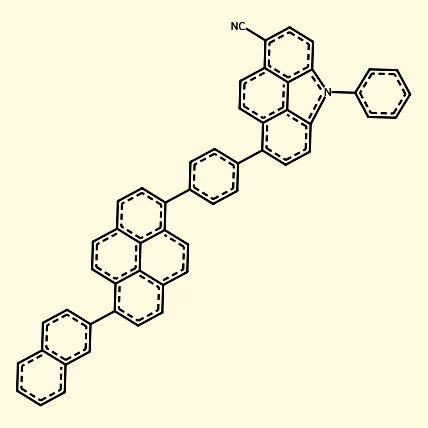 N#Cc1ccc2c3c1ccc1c(-c4ccc(-c5ccc6ccc7c(-c8ccc9ccccc9c8)ccc8ccc5c6c87)cc4)ccc(c13)n2-c1ccccc1